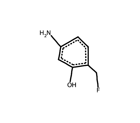 Nc1ccc(CF)c(O)c1